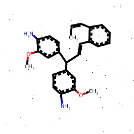 C/C=C\c1ccccc1/C=C/C(c1ccc(N)c(OC)c1)c1ccc(N)c(OC)c1